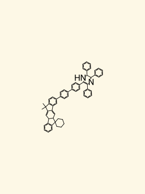 CC1(C)C2=CC3c4ccccc4C4(CCCCC4)C3C=C2c2cc(-c3ccc(-c4ccc(C5=C(c6ccccc6)N=C(c6ccccc6)C(c6ccccc6)N5)cc4)cc3)ccc21